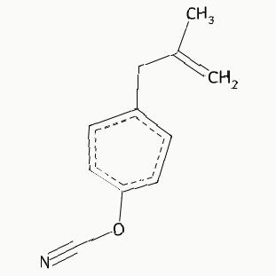 C=C(C)Cc1ccc(OC#N)cc1